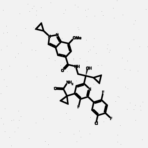 COc1cc(C(=O)NC[C@](O)(c2cc(C3(C(N)=O)CC3)c(F)c(-c3cc(Cl)c(F)cc3F)n2)C2CC2)cc2cn(C3CC3)nc12